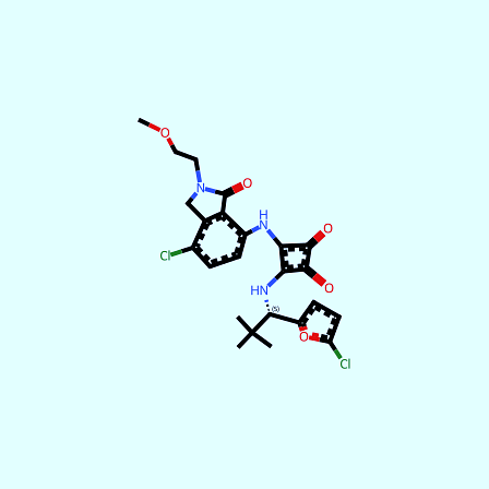 COCCN1Cc2c(Cl)ccc(Nc3c(N[C@H](c4ccc(Cl)o4)C(C)(C)C)c(=O)c3=O)c2C1=O